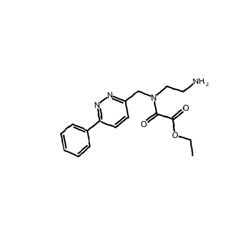 CCOC(=O)C(=O)N(CCN)Cc1ccc(-c2ccccc2)nn1